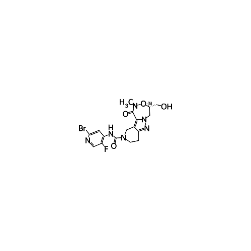 CN1O[C@H](CO)Cn2nc3c(c2C1=O)CN(C(=O)Nc1cc(Br)ncc1F)CC3